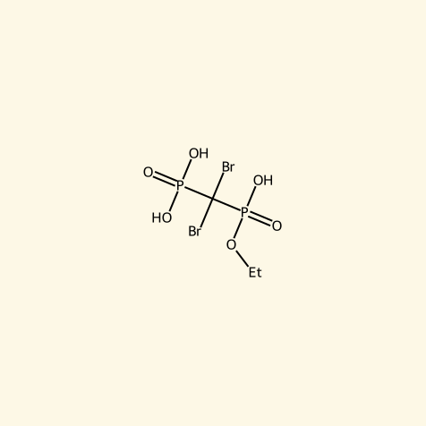 CCOP(=O)(O)C(Br)(Br)P(=O)(O)O